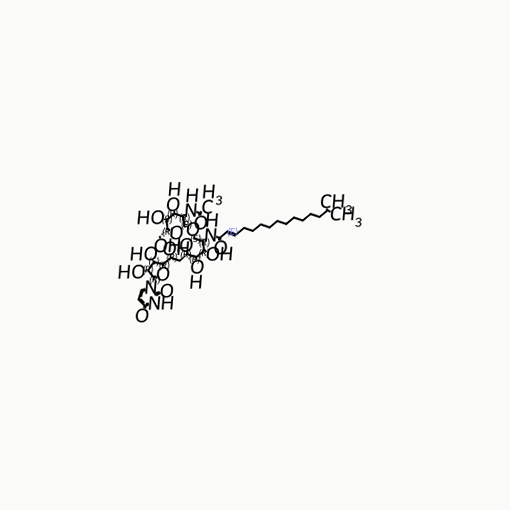 CC(=O)N[C@H]1[C@@H](O[C@@H]2O[C@H](C[C@@H](O)[C@H]3O[C@@H](n4ccc(=O)[nH]c4=O)[C@H](O)[C@@H]3O)[C@H](O)[C@H](O)[C@H]2NC(=O)/C=C/CCCCCCCCCCC(C)C)O[C@H](CO)[C@@H](O)[C@@H]1O